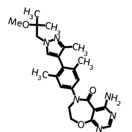 COC(C)(C)Cn1cc(-c2c(C)cc(N3CCOc4ncnc(N)c4C3=O)cc2C)c(C)n1